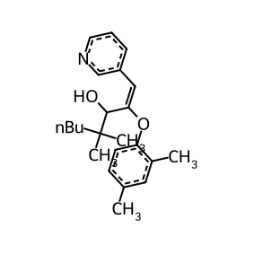 CCCCC(C)(C)C(O)/C(=C\c1cccnc1)Oc1ccc(C)cc1C